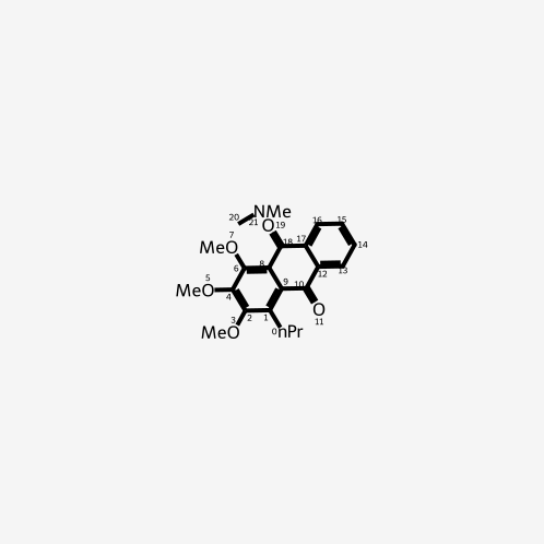 CCCc1c(OC)c(OC)c(OC)c2c1C(=O)c1ccccc1C2=O.CNC